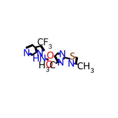 Cc1csc(-c2ncc(OC(=O)Nn3cc(C(F)(F)F)c4ccncc43)c(C)n2)n1